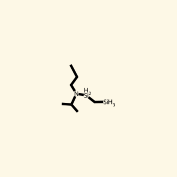 CCCN([SiH2]C[SiH3])C(C)C